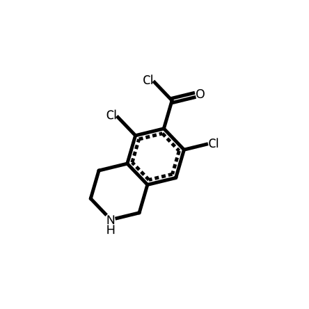 O=C(Cl)c1c(Cl)cc2c(c1Cl)CCNC2